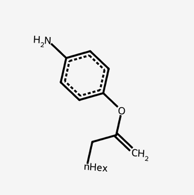 C=C(CCCCCCC)Oc1ccc(N)cc1